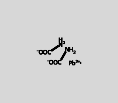 NC(=O)[O-].NC(=O)[O-].[Pb+2]